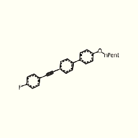 CCCCCOc1ccc(-c2ccc(C#Cc3ccc(F)cc3)cc2)cc1